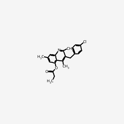 CCC(=O)Oc1cc(C)cc2nc(C)c(Cc3ccc(Cl)cc3)c(C)c12